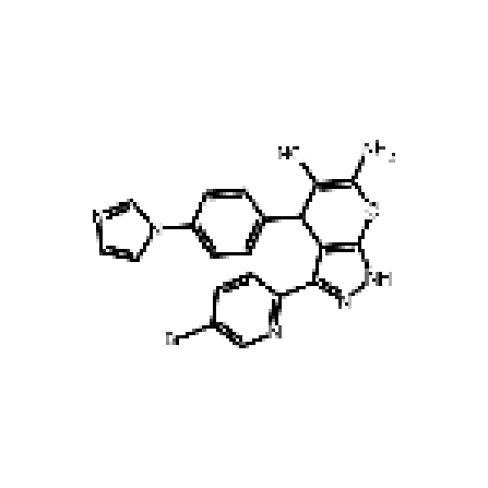 N#CC1=C(N)Oc2[nH]nc(-c3ccc(Br)cn3)c2C1c1ccc(-n2ccnc2)cc1